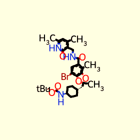 Cc1cc(C)c(CNC(=O)c2cc(Br)c3c(c2C)OC(C)(C[C@H]2CC[C@H](NC(=O)OC(C)(C)C)CC2)O3)c(=O)[nH]1